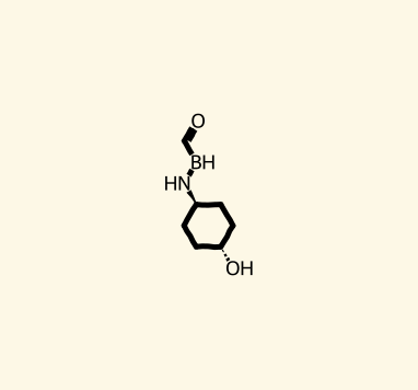 O=CBN[C@H]1CC[C@H](O)CC1